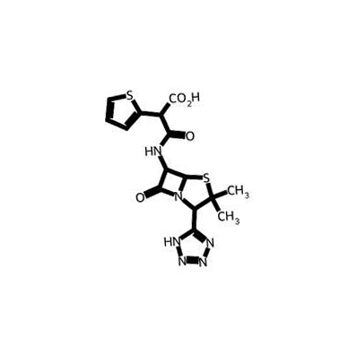 CC1(C)SC2C(NC(=O)C(C(=O)O)c3cccs3)C(=O)N2C1c1nnn[nH]1